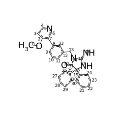 COc1ccncc1-c1cccc(CN2C(=N)NC(c3ccccc3)(c3ccccc3)C2=O)c1